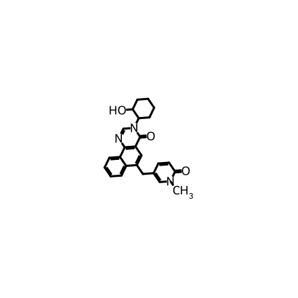 Cn1cc(Cc2cc3c(=O)n(C4CCCCC4O)cnc3c3ccccc23)ccc1=O